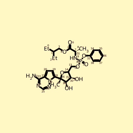 CCC(CC)COC(=O)[C@H](C)N[P@@](=O)(OCC1O[C@@](C)(c2ccc3c(N)ncnn23)[C@H](O)[C@@H]1O)Oc1ccccc1